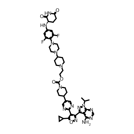 CC(C)n1nc(-c2noc(C3CC3)c2-c2ncc(C3CCN(C(=O)OCCN4CCC(N5CCN(c6c(F)cc(N[C@@H]7CCC(=O)NC7=O)cc6F)CC5)CC4)CC3)cn2)c2c(N)ncnc21